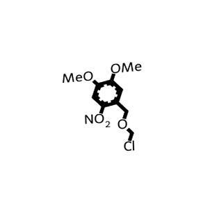 COc1cc(COCCl)c([N+](=O)[O-])cc1OC